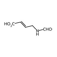 O=[C]NC/C=C/C(=O)O